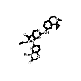 C=CCn1c(=O)c2cnc(Nc3ccc4c(c3)C3(CC3)N(C)CC4)nc2n1-c1ccc2c(n1)N(CC)C(=O)CO2